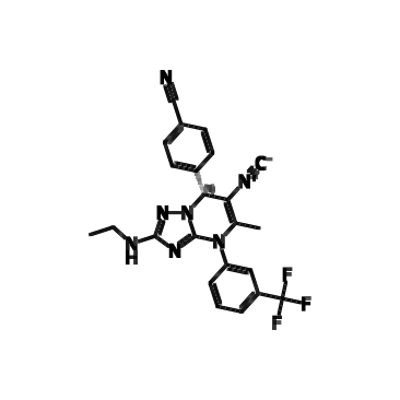 [C-]#[N+]C1=C(C)N(c2cccc(C(F)(F)F)c2)c2nc(NCC)nn2[C@@H]1c1ccc(C#N)cc1